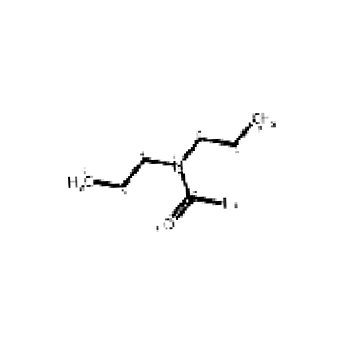 CCCN(CCC)C(=O)I